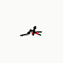 CCCCCCCCOc1ccc(-c2nnc(-c3cc(-c4ccc(C)cc4)cc4c3-c3ccc(C)cc3C4(CCCCCCCC)CCCCCCCC)o2)cc1